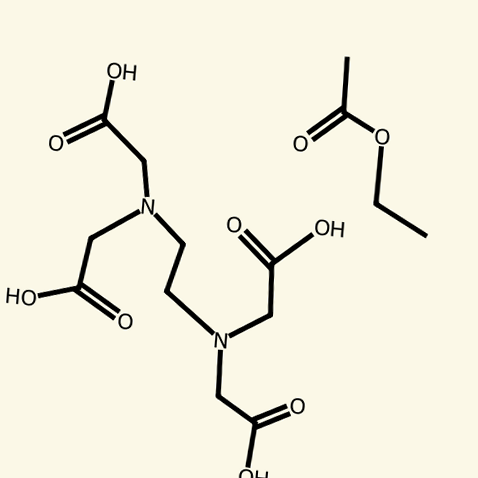 CCOC(C)=O.O=C(O)CN(CCN(CC(=O)O)CC(=O)O)CC(=O)O